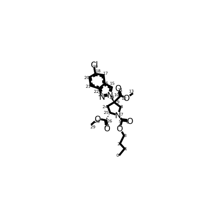 CCCCOC(=O)N1C[C@](C(=O)OC)(n2cc3cc(Cl)ccc3n2)C[C@H]1C(=O)OC